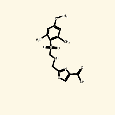 COc1cc(C)c(S(=O)(=O)CNCc2nc(C(=O)O)co2)c(C)c1